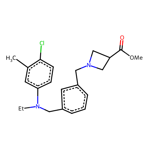 CCN(Cc1cccc(CN2CC(C(=O)OC)C2)c1)c1ccc(Cl)c(C)c1